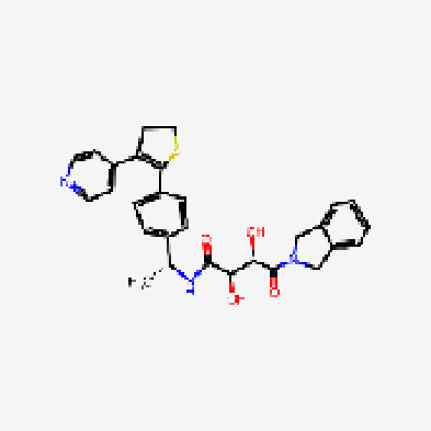 C[C@@H](NC(=O)[C@H](O)[C@@H](O)C(=O)N1Cc2ccccc2C1)c1ccc(C2=C(c3ccncc3)CCS2)cc1